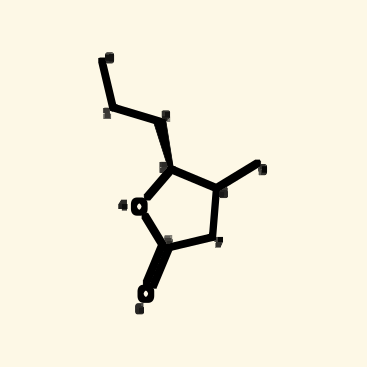 CCC[C@@H]1OC(=O)CC1C